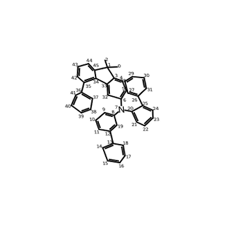 CC1(C)c2ccc(N(c3cccc(-c4ccccc4)c3)c3ccccc3-c3ccccc3)cc2-c2c(-c3ccccc3)cccc21